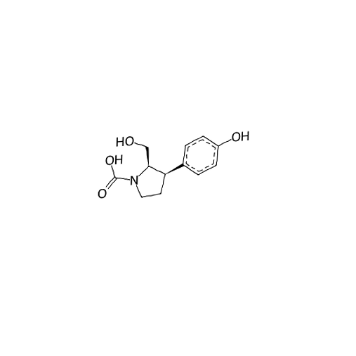 O=C(O)N1CC[C@H](c2ccc(O)cc2)[C@@H]1CO